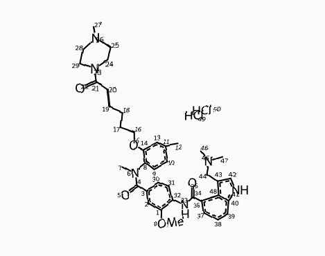 COc1cc(C(=O)N(C)c2ccc(C)cc2OCCCCCC(=O)N2CCN(C)CC2)ccc1NC(=O)c1cccc2[nH]cc(CN(C)C)c12.Cl.Cl